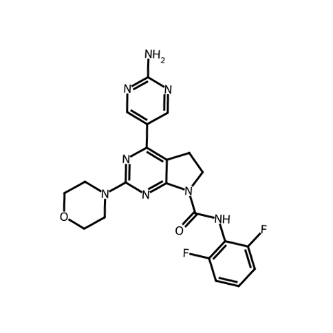 Nc1ncc(-c2nc(N3CCOCC3)nc3c2CCN3C(=O)Nc2c(F)cccc2F)cn1